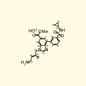 COC(=O)c1cc(-c2cccc(S(=O)(=O)NC3CC3)c2)c2ncn(C/C(F)=C/CN)c2c1.Cl